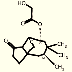 C[C@H]1CC23CCCC(C2C(=O)CC3)[C@H](OC(=O)CO)CC1(C)C